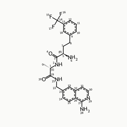 C[C@H](NC(=O)[C@H](N)CCc1cccc(C(F)(F)F)c1)C(=O)NCc1ccc2c(N)nccc2c1